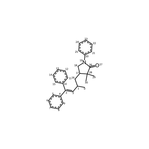 CC(C=C(c1ccccc1)c1ccccc1)CC1CN(c2ccccc2)C(=O)C1(C)C